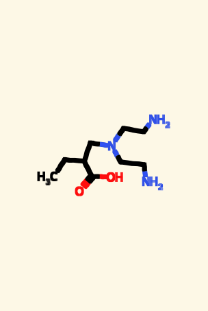 CCC(CN(CCN)CCN)C(=O)O